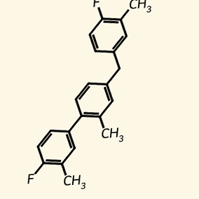 Cc1cc(Cc2ccc(-c3ccc(F)c(C)c3)c(C)c2)ccc1F